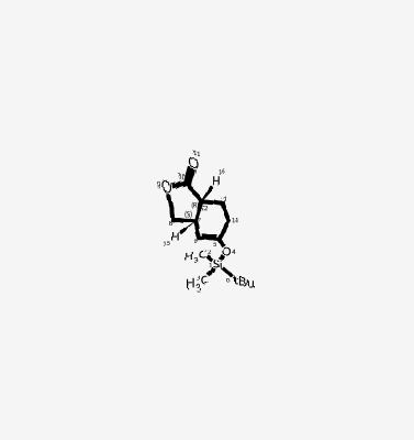 CC(C)(C)[Si](C)(C)OC1=C[C@@H]2COC(=O)[C@@H]2CC1